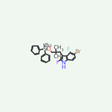 CC(C)(CO[Si](c1ccccc1)(c1ccccc1)C(C)(C)C)Cc1c(I)[nH]c2ccc(Br)c(F)c12